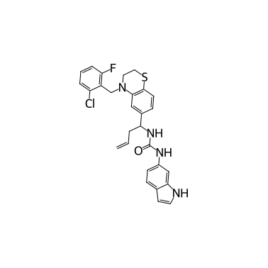 C=CCC(NC(=O)Nc1ccc2cc[nH]c2c1)c1ccc2c(c1)N(Cc1c(F)cccc1Cl)CCS2